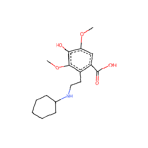 COc1cc(C(=O)O)c(CCNC2CCCCC2)c(OC)c1O